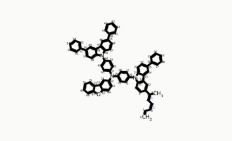 C=C/C=C\C=C(/C)c1ccc2c(c1)c1cc(-c3ccccc3)ccc1n2-c1ccc(N(c2ccc(-n3c4ccc(-c5ccccc5)cc4c4cc(-c5ccccc5)ccc43)cc2)c2ccc3oc4ccccc4c3c2)cc1